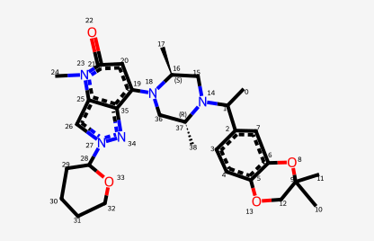 CC(c1ccc2c(c1)OC(C)(C)CO2)N1C[C@H](C)N(c2cc(=O)n(C)c3cn(C4CCCCO4)nc23)C[C@H]1C